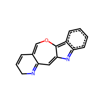 C1=CC2=COC3=c4ccccc4=NC3=CC2=NC1